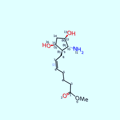 COC(=O)CCC/C=C\C[C@@H]1[C@@H](N)[C@H](O)C[C@@H]1O